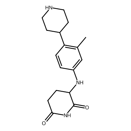 Cc1cc(NC2CCC(=O)NC2=O)ccc1C1CCNCC1